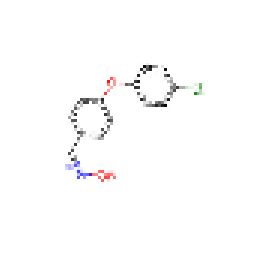 O/N=C\c1ccc(Oc2ccc(Cl)cc2)cc1